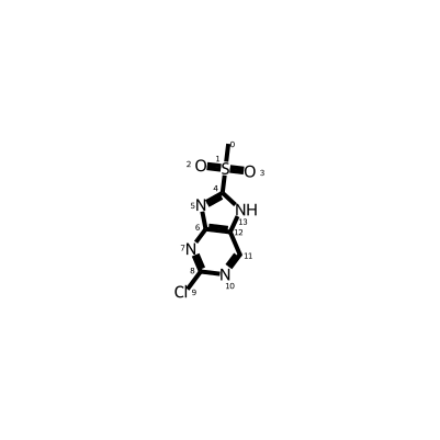 CS(=O)(=O)c1nc2nc(Cl)ncc2[nH]1